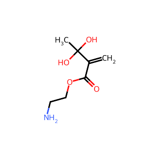 C=C(C(=O)OCCN)C(C)(O)O